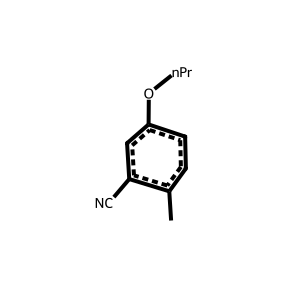 CCCOc1ccc(C)c(C#N)c1